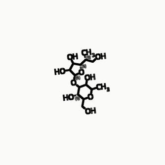 CC1OC(CO)[C@H](O)C(O[C@@H]2O[C@@H]([C@H](C)CO)C(O)C2O)C1O